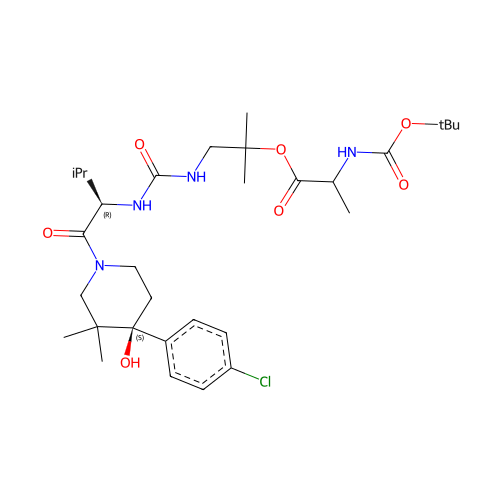 CC(NC(=O)OC(C)(C)C)C(=O)OC(C)(C)CNC(=O)N[C@@H](C(=O)N1CC[C@](O)(c2ccc(Cl)cc2)C(C)(C)C1)C(C)C